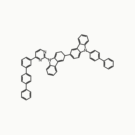 C1=c2c(n(-c3nccc(-c4cccc(-c5ccc(-c6ccccc6)cc5)c4)n3)c3ccccc23)=CCC1c1ccc2c(c1)c1ccccc1n2-c1ccc(-c2ccccc2)cc1